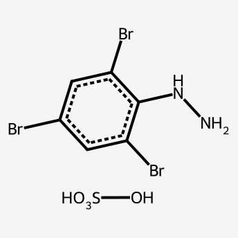 NNc1c(Br)cc(Br)cc1Br.O=S(=O)(O)O